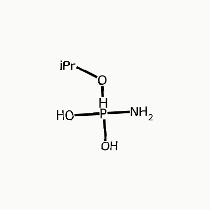 CC(C)O[PH](N)(O)O